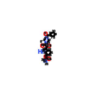 C[C@@H]1CN(C(=O)c2ccccc2)CCN1C(=O)C(=O)c1c[nH]c2c(OC(=O)N(C)C)cccc12